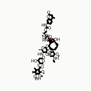 CCN[C@H]1CO[C@@H](O[C@H]2[C@H](O[C@H]3C#C/C=C\C#C[C@]4(O)C[C@H](O)C(NC(=O)OC)=C3/C4=C\CSS[C@H](C)COC(=O)Nc3ccc4c(C)cc(=O)oc4c3)O[C@H](C)[C@@H](NO[C@H]3C[C@H](O)[C@H](SC(=O)c4c(C)c(I)c(OO)c(OC)c4OC)[C@@H](C)O3)[C@@H]2O)C[C@@H]1OC